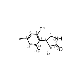 Cc1cc(F)c([C@H]2CNC(=O)[C@@H]2C)c(F)c1